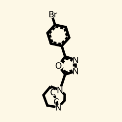 Brc1ccc(-c2nnc(N3CCN4CCC3CC4)o2)cc1